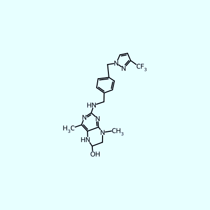 Cc1nc(NCc2ccc(Cn3ccc(C(F)(F)F)n3)cc2)nc2c1NC(O)CN2C